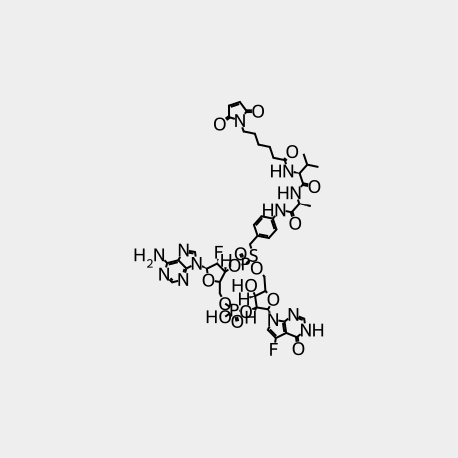 CC(C)[C@H](NC(=O)CCCCCN1C(=O)C=CC1=O)C(=O)N[C@@H](C)C(=O)Nc1ccc(CSP2(=O)OCC3O[C@@H](n4cc(F)c5c(=O)[nH]cnc54)[C@H](OP(=O)(O)OCC4O[C@@H](n5cnc6c(N)ncnc65)[C@H](F)[C@@H]4O2)[C@@H]3O)cc1